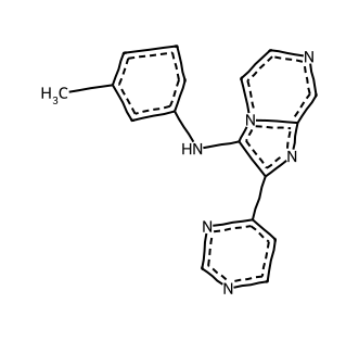 Cc1cccc(Nc2c(-c3ccncn3)nc3cnccn23)c1